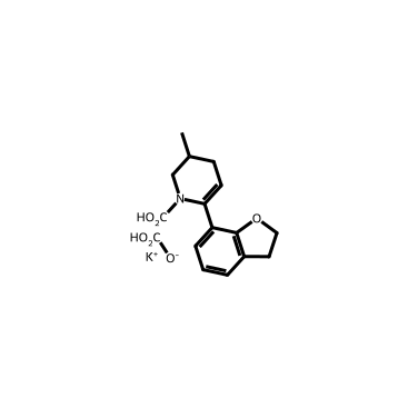 CC1CC=C(c2cccc3c2OCC3)N(C(=O)O)C1.O=C([O-])O.[K+]